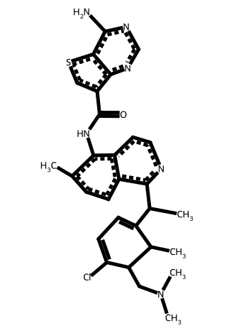 Cc1ccc2c(C(C)C3=CC=C(Cl)C(CN(C)C)C3C)nccc2c1NC(=O)c1csc2c(N)ncnc12